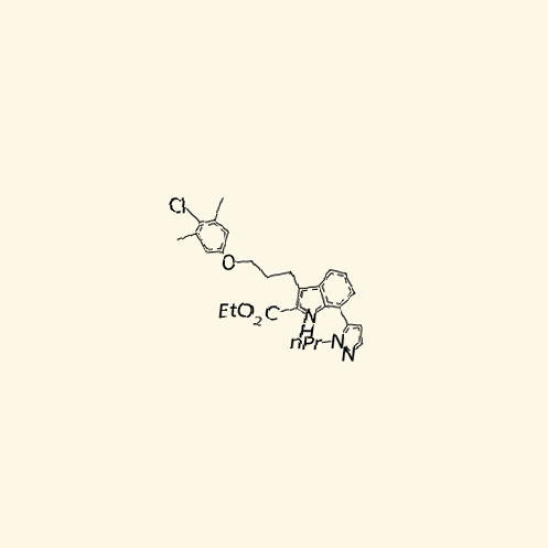 CCCn1nccc1-c1cccc2c(CCCOc3cc(C)c(Cl)c(C)c3)c(C(=O)OCC)[nH]c12